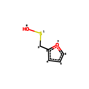 OSCc1ccco1